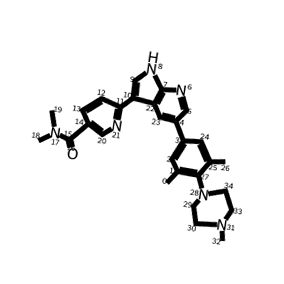 Cc1cc(-c2cnc3[nH]cc(-c4ccc(C(=O)N(C)C)cn4)c3c2)cc(C)c1N1CCN(C)CC1